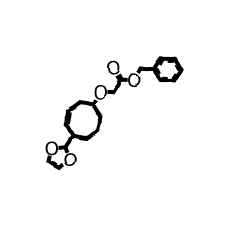 O=C(COC1C/C=C\C(C2OCCO2)CCC1)OCc1ccccc1